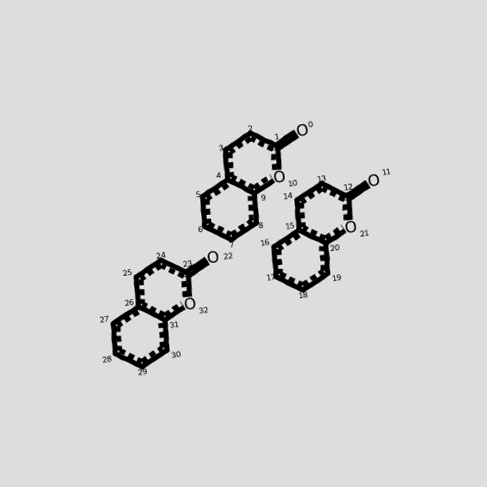 O=c1ccc2ccccc2o1.O=c1ccc2ccccc2o1.O=c1ccc2ccccc2o1